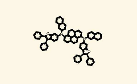 c1ccc(-c2oc3cc(N(c4ccc5ccccc5c4)c4ccc5ccc6c(N(c7ccc8ccccc8c7)c7ccc8c(-c9ccccc9)c(-c9ccccc9)oc8c7)ccc7ccc4c5c76)ccc3c2-c2ccccc2)cc1